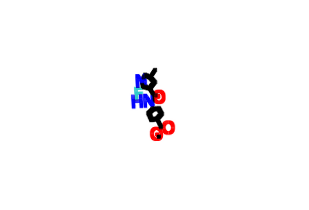 COC(=O)c1ccc(NC(=O)c2cc(C)cnc2F)cc1